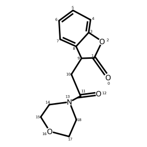 O=C1Oc2ccccc2C1CC(=O)N1CCOCC1